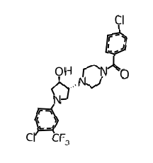 O=C(c1ccc(Cl)cc1)N1CCN([C@@H]2CN(c3ccc(Cl)c(C(F)(F)F)c3)C[C@H]2O)CC1